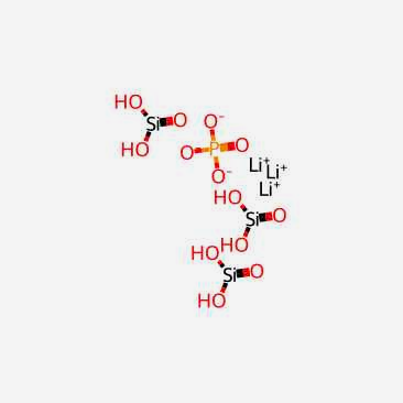 O=P([O-])([O-])[O-].O=[Si](O)O.O=[Si](O)O.O=[Si](O)O.[Li+].[Li+].[Li+]